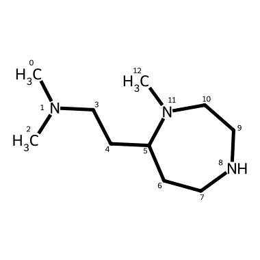 CN(C)CCC1CCNCCN1C